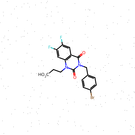 O=C(O)CCn1c(=O)n(Cc2ccc(Br)cc2)c(=O)c2cc(F)c(F)cc21